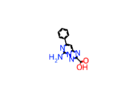 Nc1nc(-c2ccccc2)cc2nc(C(=O)O)nn12